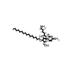 CCCCCCCCCCCCCCCCO[C@H]1[C@@H](O)[C@](CCCCCCN)(n2ccc(N)nc2=O)O[C@@H]1CO